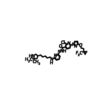 CC1(C)CC(CCCCCNc2cccc(SNC(=O)c3ccc(-n4ccc(OCCC5(C(F)(F)F)CC5)n4)nc3Cl)n2)CN1